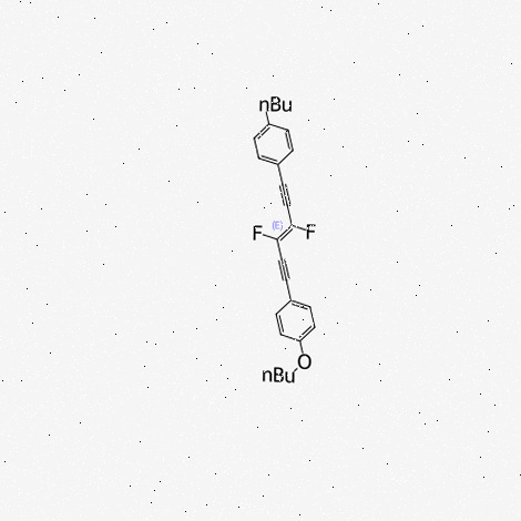 CCCCOc1ccc(C#C/C(F)=C(\F)C#Cc2ccc(CCCC)cc2)cc1